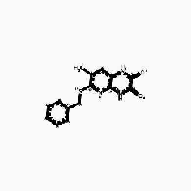 Cc1cc2[nH]c(=O)c(=O)[nH]c2nc1SCc1ccccc1